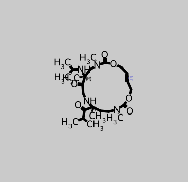 CC(C)N[C@]1(C)CN(C)C(=O)OC/C=C/COC(=O)N(C)CC[C@](C)(C(=O)C(C)C)NCC1=O